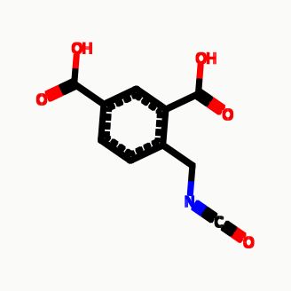 O=C=NCc1ccc(C(=O)O)cc1C(=O)O